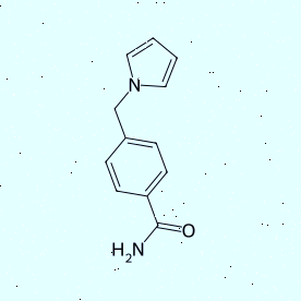 NC(=O)c1ccc(Cn2cccc2)cc1